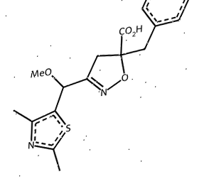 COC(C1=NOC(Cc2ccccc2)(C(=O)O)C1)c1sc(C)nc1C